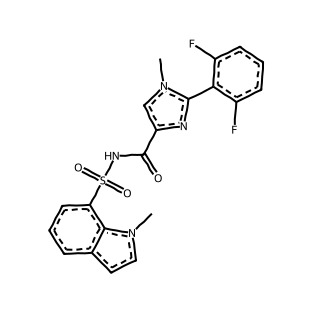 Cn1cc(C(=O)NS(=O)(=O)c2cccc3ccn(C)c23)nc1-c1c(F)cccc1F